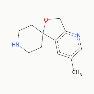 Cc1cnc2c(c1)C1(CCNCC1)OC2